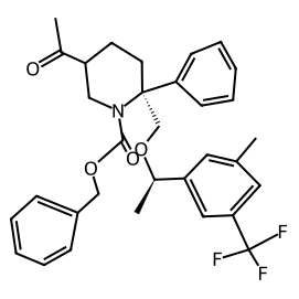 CC(=O)C1CC[C@@](CO[C@H](C)c2cc(C)cc(C(F)(F)F)c2)(c2ccccc2)N(C(=O)OCc2ccccc2)C1